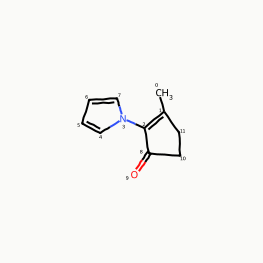 CC1=C(n2cccc2)C(=O)CC1